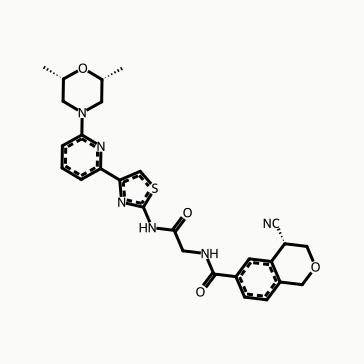 C[C@@H]1CN(c2cccc(-c3csc(NC(=O)CNC(=O)c4ccc5c(c4)[C@H](C#N)COC5)n3)n2)C[C@H](C)O1